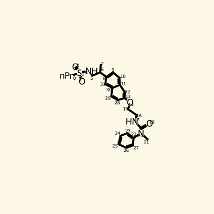 CCCS(=O)(=O)NCC(C)c1ccc2cc(OCCNC(=O)N(C)c3ccccc3)ccc2c1